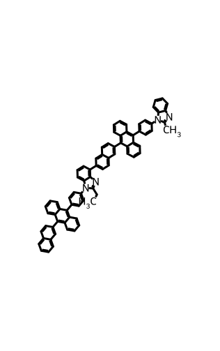 CCc1nc2c(-c3ccc4cc(-c5c6ccccc6c(-c6ccc(-n7c(C)nc8ccccc87)cc6)c6ccccc56)ccc4c3)cccc2n1-c1ccc(-c2c3ccccc3c(-c3ccc4ccccc4c3)c3ccccc23)cc1